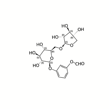 O=COc1cccc(O[C@@H]2O[C@H](CO[C@@H]3OC[C@@H](O)[C@H](O)[C@H]3O)[C@@H](O)[C@H](O)[C@H]2O)c1